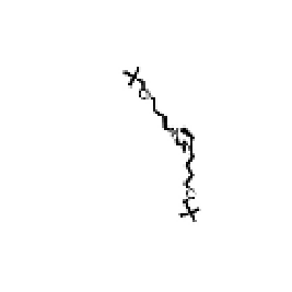 CC(C)(C)COCCCCn1cc[n+](CCCCOCC(C)(C)C)c1